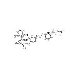 COC(=O)[C@H](Cc1ccc(OCCc2cccc(NCCN(C)C)n2)cc1)NC(=O)c1c(Cl)cccc1Cl